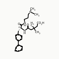 CN(C)CCCNC(=O)[C@@H](Cc1ccc(-c2ccccc2)cc1)NC(=O)CC(C)(C)CC(=O)O